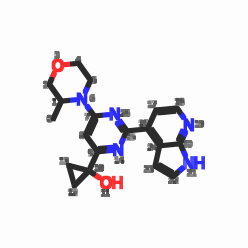 CC1COCCN1c1cc(C2(O)CC2)nc(-c2ccnc3[nH]ccc23)n1